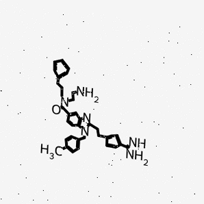 Cc1ccc(Cn2c(CCc3ccc(C(=N)N)cc3)nc3cc(C(=O)N(CCN)CCCc4ccccc4)ccc32)cc1